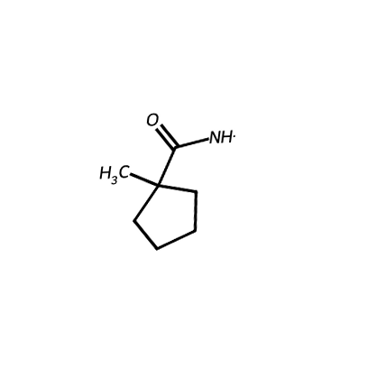 CC1(C([NH])=O)CCCC1